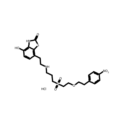 Cl.O=c1[nH]c2c(O)ccc(CCNCCCS(=O)(=O)CCOCCc3ccc([N+](=O)[O-])cc3)c2s1